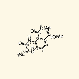 COC(=O)c1ccc(O)c(NC(=O)OC(C)(C)C)c1C(=O)OC